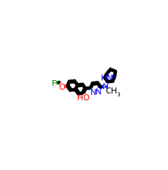 CN(c1ccc(-c2cc3ccc(OCF)cc3cc2O)nn1)C1CC2CCC(C1)N2